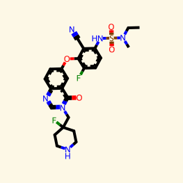 CCN(C)S(=O)(=O)Nc1ccc(F)c(Oc2ccc3ncn(CC4(F)CCNCC4)c(=O)c3c2)c1C#N